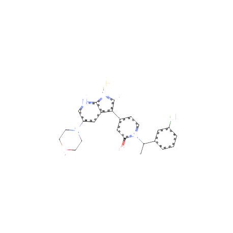 CC(c1cccc(Cl)c1)n1ccc(-c2cn(S)c3ncc(N4CCOCC4)cc23)cc1=O